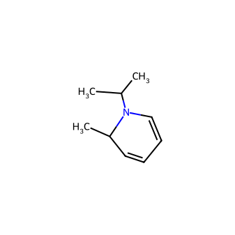 CC(C)N1C=CC=CC1C